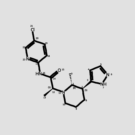 C[C@@H]1[C@@H](c2ccn[nH]2)CCCN1[C@@H](C)C(=O)Nc1ccc(Cl)cn1